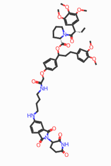 CC[C@H](C(=O)N1CCCC[C@H]1C(=O)OC(CCc1ccc(OC)c(OC)c1)c1ccc(OCC(=O)NCCCCNc2ccc3c(c2)C(=O)N(C2CCC(=O)NC2=O)C3=O)cc1)c1cc(OC)c(OC)c(OC)c1